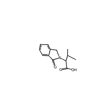 CC(C)C(C(=O)O)N1Cc2ccccc2C1=O